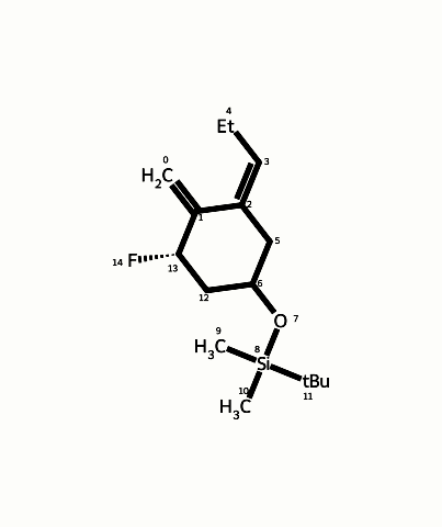 C=C1/C(=C\CC)CC(O[Si](C)(C)C(C)(C)C)C[C@@H]1F